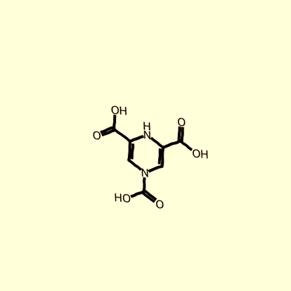 O=C(O)C1=CN(C(=O)O)C=C(C(=O)O)N1